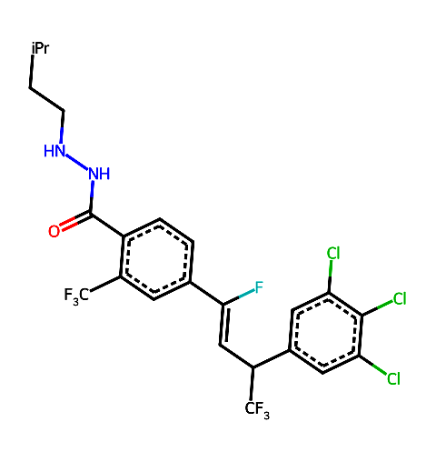 CC(C)CCNNC(=O)c1ccc(C(F)=CC(c2cc(Cl)c(Cl)c(Cl)c2)C(F)(F)F)cc1C(F)(F)F